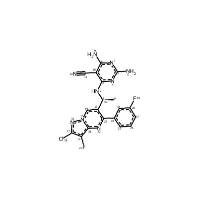 C[C@H](Nc1nc(N)nc(N)c1C#N)c1cn2nc(Cl)c(F)c2nc1-c1cccc(F)c1